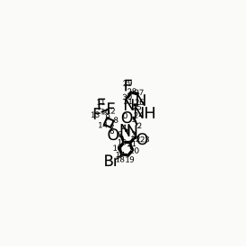 O=C(Cn1nc(O[C@H]2C[C@@H](C(F)(F)F)C2)c2cc(Br)ccc2c1=O)Nc1ncc(F)cn1